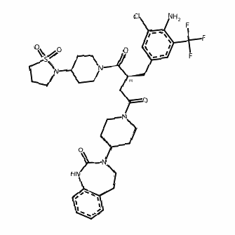 Nc1c(Cl)cc(C[C@@H](CC(=O)N2CCC(N3CCc4ccccc4NC3=O)CC2)C(=O)N2CCC(N3CCCS3(=O)=O)CC2)cc1C(F)(F)F